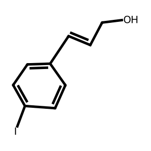 OCC=Cc1ccc(I)cc1